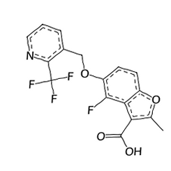 Cc1oc2ccc(OCc3cccnc3C(F)(F)F)c(F)c2c1C(=O)O